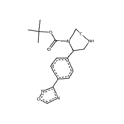 CC(C)(C)OC(=O)N1CCNCC1c1ccc(-c2ncon2)cc1